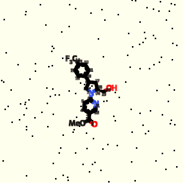 COC(=O)c1ccc(N2CC(c3ccc(C(F)(F)F)cc3)C[C@H]2CO)nc1